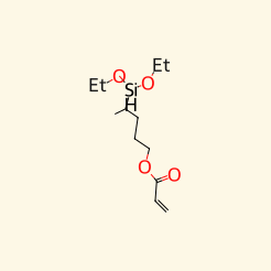 C=CC(=O)OCCCC(C)[SiH](OCC)OCC